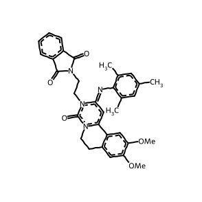 COc1cc2c(cc1OC)-c1cc(=Nc3c(C)cc(C)cc3C)n(CCN3C(=O)c4ccccc4C3=O)c(=O)n1CC2